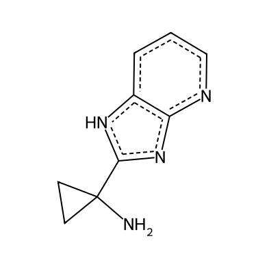 NC1(c2nc3ncccc3[nH]2)CC1